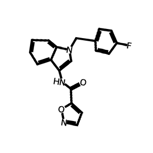 O=C(Nc1cn(Cc2ccc(F)cc2)c2ccccc12)c1ccno1